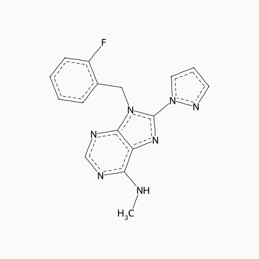 CNc1ncnc2c1nc(-n1cccn1)n2Cc1ccccc1F